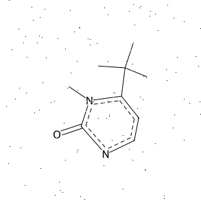 Cn1c(C(C)(C)C)ccnc1=O